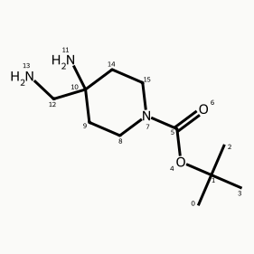 CC(C)(C)OC(=O)N1CCC(N)(CN)CC1